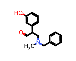 CN(Cc1ccccc1)CC(C=O)c1cccc(O)c1